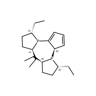 CC[C@H]1CC[C@H](CC)P1C1=CC=C[C@H]1P1[C@H](CC)CC[C@H]1CC